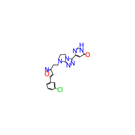 O=c1cc(-c2nnc3n2CCCN3CCc2cc(-c3cccc(Cl)c3)on2)nc[nH]1